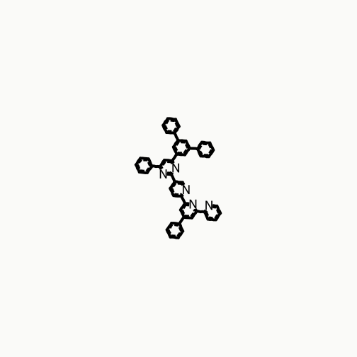 c1ccc(-c2cc(-c3ccccc3)cc(-c3cc(-c4ccccc4)nc(-c4ccc(-c5cc(-c6ccccc6)cc(-c6ccccn6)n5)nc4)n3)c2)cc1